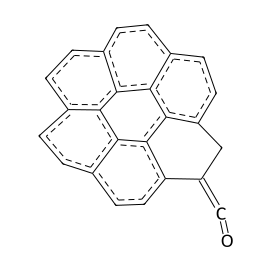 O=C=C1Cc2ccc3ccc4ccc5ccc6ccc1c1c2c3c4c5c61